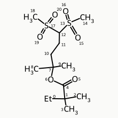 CCC(C)(C)C(=O)OC(C)(C)CCC(S(C)(=O)=O)S(C)(=O)=O